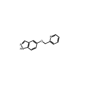 c1ccc(COc2ccc3[nH]ncc3c2)nc1